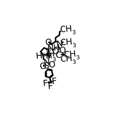 CCCCC(C(=O)N[C@H]1CC[C@@H]2CN(S(=O)(=O)c3ccc(C(F)(F)F)cc3)C[C@@H]21)N(C)C(=O)OC(C)(C)C